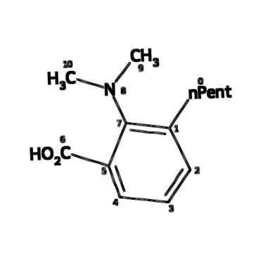 CCCCCc1cccc(C(=O)O)c1N(C)C